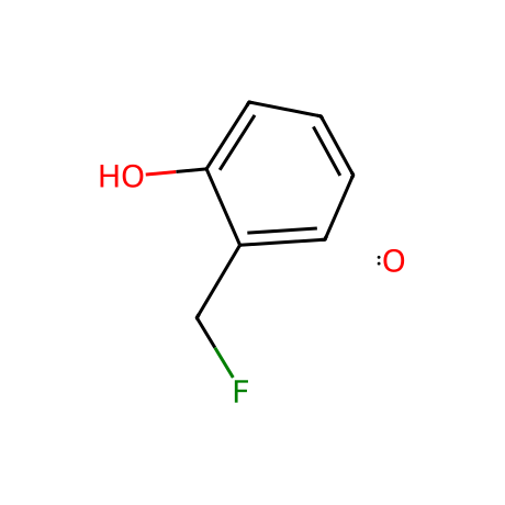 Oc1ccccc1CF.[O]